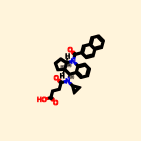 O=C(O)CCC(=O)N(C1CC1)[C@H]1c2ccccc2N(C(=O)c2ccc3ccccc3c2)[C@@H]2CCC[C@@H]21